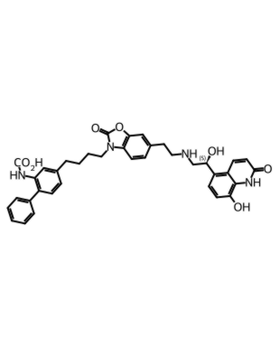 O=C(O)Nc1cc(CCCCn2c(=O)oc3cc(CCNC[C@@H](O)c4ccc(O)c5[nH]c(=O)ccc45)ccc32)ccc1-c1ccccc1